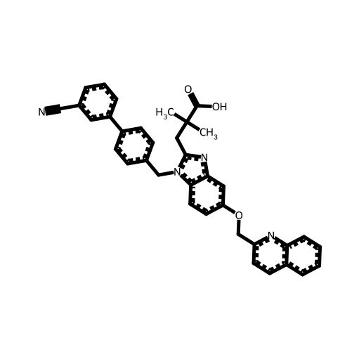 CC(C)(Cc1nc2cc(OCc3ccc4ccccc4n3)ccc2n1Cc1ccc(-c2cccc(C#N)c2)cc1)C(=O)O